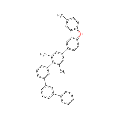 Cc1ccc2oc3ccc(-c4cc(C)c(-c5cccc(-c6cccc(-c7ccccc7)c6)c5)c(C)c4)cc3c2c1